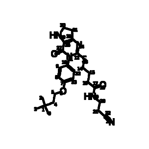 CC(C)(C)CCOc1ccc(-n2c(SCCCC(=O)NCCC#N)nc3c(c2=O)NCC3)cc1